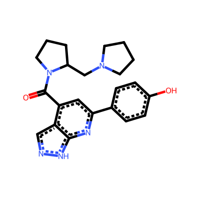 O=C(c1cc(-c2ccc(O)cc2)nc2[nH]ncc12)N1CCCC1CN1CCCC1